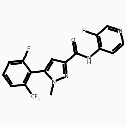 Cn1nc(C(=O)Nc2ccncc2F)cc1-c1c(F)cccc1C(F)(F)F